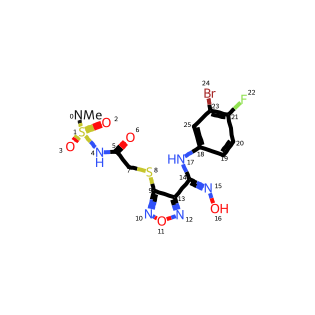 CNS(=O)(=O)NC(=O)CSc1nonc1/C(=N\O)Nc1ccc(F)c(Br)c1